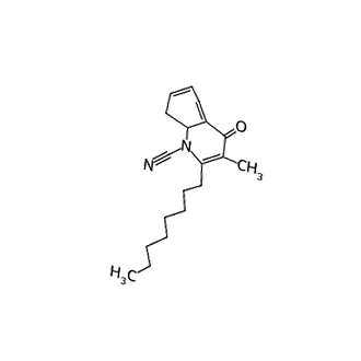 CCCCCCCCC1=C(C)C(=O)C2=CC=CCC2N1C#N